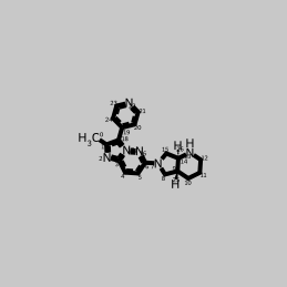 Cc1nc2ccc(N3C[C@H]4CCCN[C@@H]4C3)nn2c1-c1ccncc1